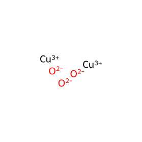 [Cu+3].[Cu+3].[O-2].[O-2].[O-2]